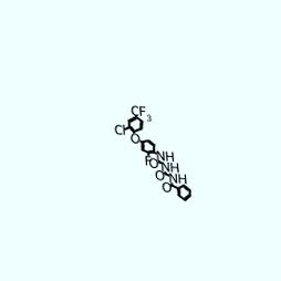 O=C(NC(=O)Nc1ccc(Oc2ccc(C(F)(F)F)cc2Cl)cc1F)NC(=O)c1ccccc1